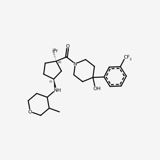 CC1COCCC1N[C@H]1CC[C@](C(=O)N2CCC(O)(c3cccc(C(F)(F)F)c3)CC2)(C(C)C)C1